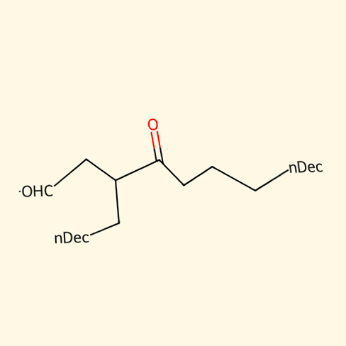 CCCCCCCCCCCCCC(=O)C(C[C]=O)CCCCCCCCCCC